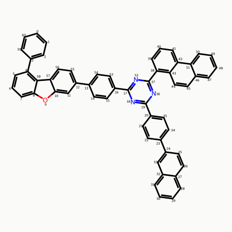 c1ccc(-c2cccc3oc4cc(-c5ccc(-c6nc(-c7ccc(-c8ccc9ccccc9c8)cc7)nc(-c7cccc8c7ccc7ccccc78)n6)cc5)ccc4c23)cc1